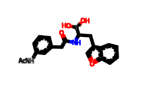 CC(=O)Nc1cccc(CC(=O)NC(Cc2coc3ccccc23)B(O)O)c1